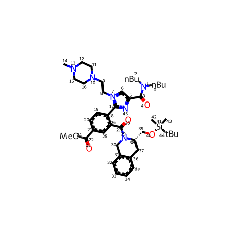 CCCCN(CCCC)C(=O)c1cn(CCN2CCN(C)CC2)c(-c2ccc(C(=O)OC)cc2C(=O)N2Cc3ccccc3C[C@H]2CO[Si](C)(C)C(C)(C)C)n1